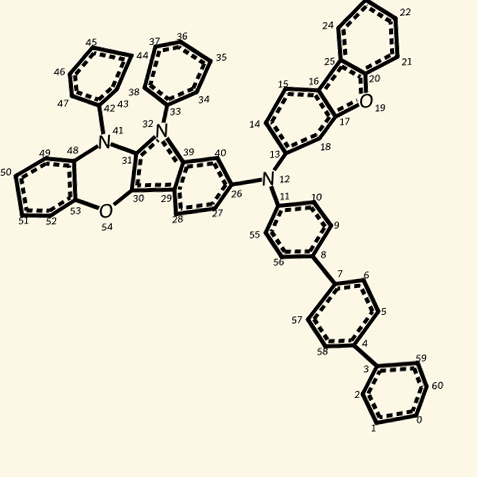 c1ccc(-c2ccc(-c3ccc(N(c4ccc5c(c4)oc4ccccc45)c4ccc5c6c(n(-c7ccccc7)c5c4)N(c4ccccc4)c4ccccc4O6)cc3)cc2)cc1